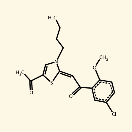 CCCCN1C=C(C(C)=O)SC1=CC(=O)c1cc(Cl)ccc1OC